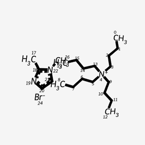 CCCC[N+](CCCC)(CCCC)CCCC.Cc1nccn1C.[Br-]